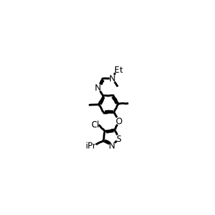 CCN(C)/C=N\c1cc(C)c(Oc2snc(C(C)C)c2Cl)cc1C